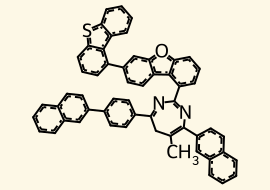 CC1=C(c2ccc3ccccc3c2)N=C(c2cccc3oc4cc(-c5cccc6sc7ccccc7c56)ccc4c23)N=C(c2ccc(-c3ccc4ccccc4c3)cc2)C1